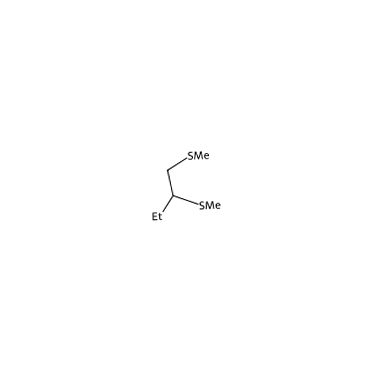 CCC(CSC)SC